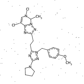 COc1ccc(Cn2nc(N3CCCC3)nc2CCc2nc3n(n2)C(C)N(Cl)C=C3Cl)cc1